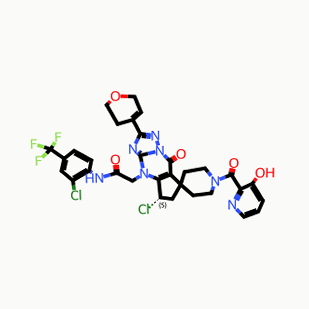 O=C(Cn1c2c(c(=O)n3nc(C4=CCOCC4)nc13)C1(CCN(C(=O)c3ncccc3O)CC1)C[C@@H]2Cl)Nc1ccc(C(F)(F)F)cc1Cl